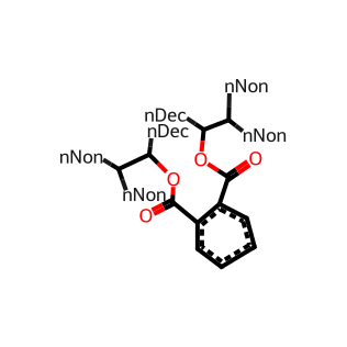 CCCCCCCCCCC(OC(=O)c1ccccc1C(=O)OC(CCCCCCCCCC)C(CCCCCCCCC)CCCCCCCCC)C(CCCCCCCCC)CCCCCCCCC